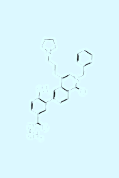 COC(=O)c1ccc(C)c(-c2ccc3c(=O)n(Cc4ccccc4)cc(CCCN4CCCC4)c3c2)c1